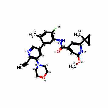 C#Cc1ncc(-c2cc(NC(=O)c3cc(OC)nc(C4(C)CC4)c3)c(F)cc2C)cc1N1CCOCC1